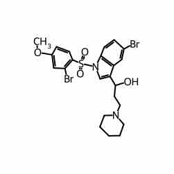 COc1ccc(S(=O)(=O)n2cc(C(O)CCN3CCCCC3)c3cc(Br)ccc32)c(Br)c1